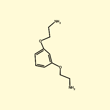 NCCOc1cccc(OCCN)c1